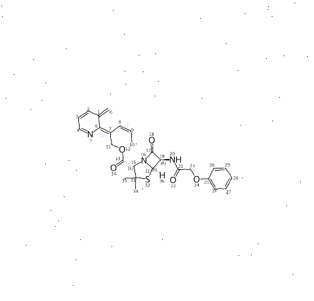 C=c1cccn/c1=C(/C=C\C)COC(=O)[C@@H]1N2C(=O)[C@@H](NC(=O)COc3ccccc3)[C@H]2SC1(C)C